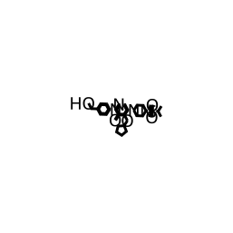 CC(C)S(=O)(=O)N1CCN(c2cnn(-c3ccc(CO)cc3)c(=O)c2OC2CCCC2)CC1